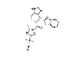 Cc1nc(C(C)(C)C#N)oc1C(=O)N1CCc2[nH]cnc2[C@@H]1c1cc2ccccn2n1